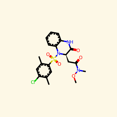 CON(C)C(=O)C[C@@H]1C(=O)Nc2ccccc2N1S(=O)(=O)c1cc(C)c(Cl)cc1C